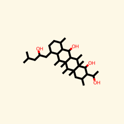 CC(C)CC(O)CC1CCC(C)C2C(O)C3C(C)C4(C)C(O)C(C(C)O)C(C)CC4(C)C(C)C3(C)C(C)C12